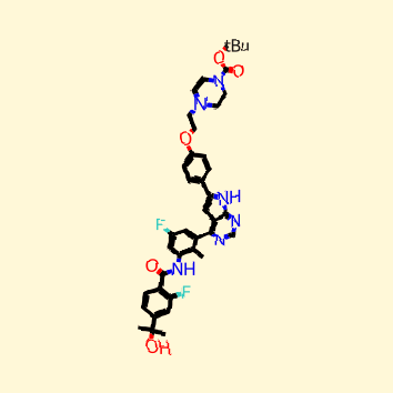 Cc1c(NC(=O)c2ccc(C(C)(C)O)cc2F)cc(F)cc1-c1ncnc2[nH]c(-c3ccc(OCCN4CCN(C(=O)OC(C)(C)C)CC4)cc3)cc12